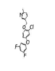 Cc1ccc(COc2ccc(Oc3cc(F)cc(F)c3)cc2Cl)cn1